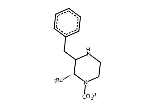 CC(C)(C)[C@@H]1C(Cc2ccccc2)NCCN1C(=O)O